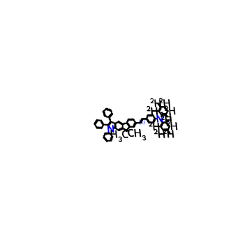 [2H]c1c([2H])c([2H])c(N(c2ccc(/C=C/c3ccc4c(c3)C(C)(C)c3cc5c(cc3-4)c(-c3ccccc3)c(-c3ccccc3)n5-c3ccccc3)cc2)c2c([2H])c([2H])c([2H])c([2H])c2[2H])c([2H])c1[2H]